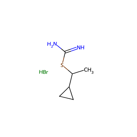 Br.CC(SC(=N)N)C1CC1